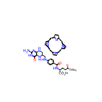 C1=Cc2cc3ccc(cc4nc(cc5ccc(cc1n2)[nH]5)C=C4)[nH]3.COC(=O)CCC(NC(=O)c1ccc(NCC2CNc3nc(N)[nH]c(=O)c3N2)cc1)C(=O)O